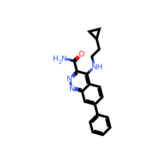 NC(=O)c1nnc2cc(-c3ccccc3)ccc2c1NCCC1CC1